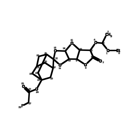 CCOC(C)OC1C(=O)OC2C3OC4(OC3OC12)C1CC2CC4CC(OC(=O)CF)(C2)C1